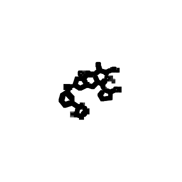 C=C(C(CN1C[C@@H](Nc2cccc(-c3nnn[nH]3)c2)CC1C=O)NC(=O)OC(C)(C)C)N1CCCC1C#N